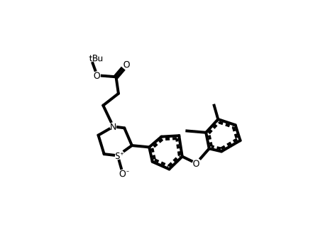 Cc1cccc(Oc2ccc(C3CN(CCC(=O)OC(C)(C)C)CC[S+]3[O-])cc2)c1C